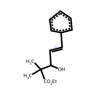 CCOC(=O)C(C)(C)C(O)/C=C/c1ccccc1